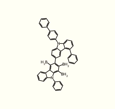 Bc1c(-c2ccc3c(c2)c2c(-c4ccccc4)cccc2n3-c2ccc(-c3ccccc3)cc2)c(B)c2c3ccccc3n(-c3ccccc3)c2c1B